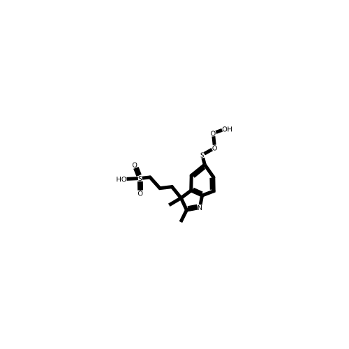 CC1=Nc2ccc(SOOO)cc2C1(C)CCCS(=O)(=O)O